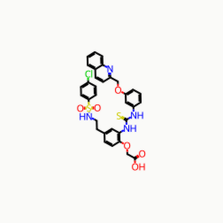 O=C(O)COc1ccc(CCNS(=O)(=O)c2ccc(Cl)cc2)cc1NC(=S)Nc1cccc(OCc2ccc3ccccc3n2)c1